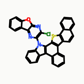 Clc1nc2oc3ccccc3c2nc1-n1c2ccccc2c2c3ccccc3c3c4ccc5ccccc5c4sc3c21